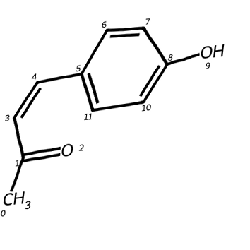 CC(=O)/C=C\c1ccc(O)cc1